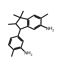 Cc1ccc(C2c3cc(N)c(C)cc3C(C)(C)C2C)cc1N